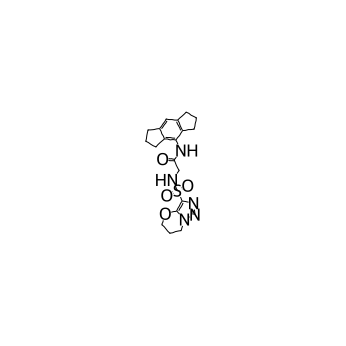 O=C(CNS(=O)(=O)c1nnn2c1OCCC2)Nc1c2c(cc3c1CCC3)CCC2